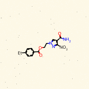 CCc1ccc(C(=O)OCCn2cc(C(N)=O)c([N+](=O)[O-])n2)cc1